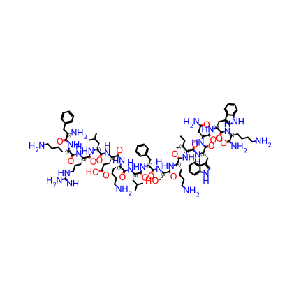 CC[C@H](C)[C@H](NC(=O)[C@H](CCCCN)NC(=O)[C@H](CO)NC(=O)[C@H](Cc1ccccc1)NC(=O)[C@H](CC(C)C)NC(=O)[C@H](CCCCN)NC(=O)[C@H](CCC(=O)O)NC(=O)[C@H](CC(C)C)NC(=O)[C@H](CCCNC(=N)N)NC(=O)[C@H](CCCCN)NC(=O)[C@@H](N)Cc1ccccc1)C(=O)N[C@@H](Cc1c[nH]c2ccccc12)C(=O)N[C@@H](CC(N)=O)C(=O)N[C@@H](Cc1c[nH]c2ccccc12)C(=O)N[C@@H](CCCCN)C(N)=O